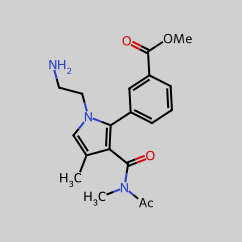 COC(=O)c1cccc(-c2c(C(=O)N(C)C(C)=O)c(C)cn2CCN)c1